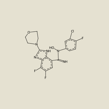 N=C(c1cc(F)c(F)c2nc(N3CCOCC3)[nH]c12)N(O)c1ccc(F)c(Cl)c1